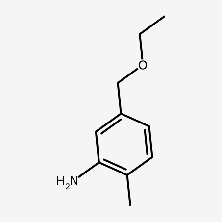 CCOCc1ccc(C)c(N)c1